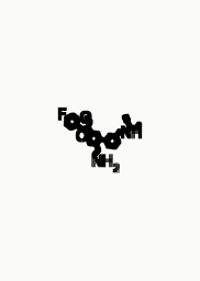 C#CC(CC)NCc1cccc(-c2cc3c(C=O)c(-c4ccc(F)cc4)oc3cc2CCN)c1